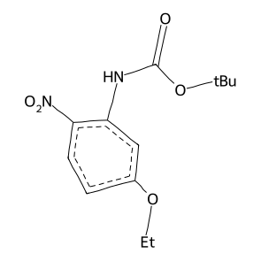 CCOc1ccc([N+](=O)[O-])c(NC(=O)OC(C)(C)C)c1